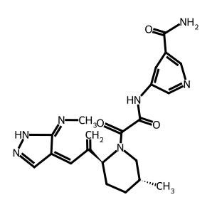 C=C(/C=C1/C=NN/C1=N/C)[C@@H]1CC[C@@H](C)CN1C(=O)C(=O)Nc1cncc(C(N)=O)c1